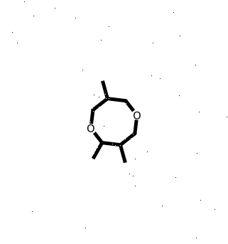 CC1COCC(C)C(C)OC1